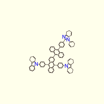 C1=CC(n2c(-c3ccc(-c4c5ccccc5c(-c5ccc6c(-c7ccc(-n8c9c(c%10ccccc%108)CCC=C9)cc7)c7ccccc7c(-c7ccc(-n8c9c(c%10c8C=CCC%10)CCC=C9)cc7)c6c5)c5ccccc45)cc3)nc3c2C=CCC3)=CCC1